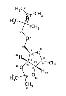 C[SiH](C)C(C)(C)COC[C@H]1O[C@H](Cl)[C@@H]2OC(C)(C)O[C@@H]21